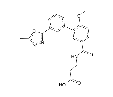 COc1ccc(C(=O)NCCC(=O)O)nc1-c1cccc(-c2nnc(C)o2)c1